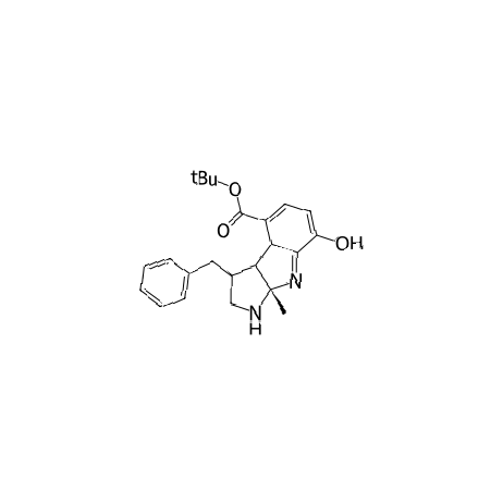 CC(C)(C)OC(=O)C1=CC=C(O)C2=N[C@]3(C)NCC(Cc4ccccc4)C3C12